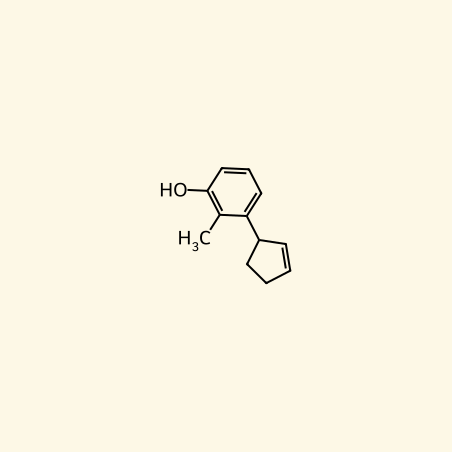 Cc1c(O)cccc1C1C=CCC1